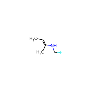 C/C=C(\C)NCF